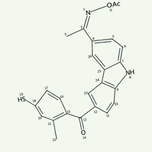 CC(=O)O/N=C(/C)c1ccc2[nH]c3ccc(C(=O)c4ccc(S)cc4C)cc3c2c1